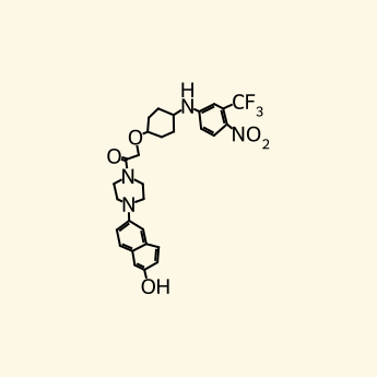 O=C(COC1CCC(Nc2ccc([N+](=O)[O-])c(C(F)(F)F)c2)CC1)N1CCN(c2ccc3cc(O)ccc3c2)CC1